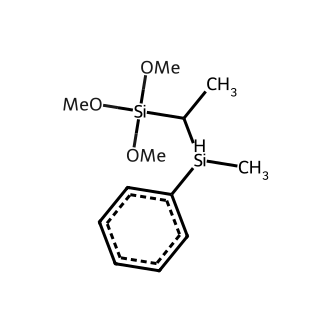 CO[Si](OC)(OC)C(C)[SiH](C)c1ccccc1